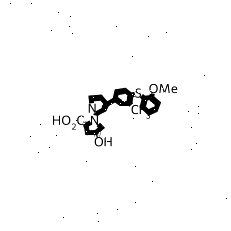 COc1ccccc1Sc1ccc(-c2ccnc(N3C[C@H](O)C[C@@H]3C(=O)O)c2)cc1C(F)(F)F